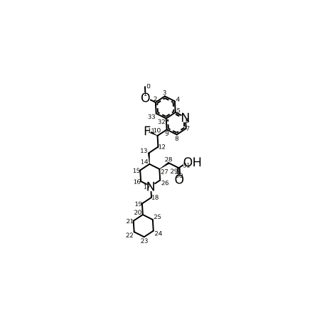 COc1ccc2nccc([C@H](F)CC[C@@H]3CCN(CCC4CCCCC4)C[C@@H]3CC(=O)O)c2c1